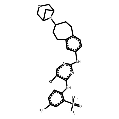 Cc1ccc(Nc2nc(Nc3ccc4c(c3)CCC(N3C5COCC3C5)CC4)ncc2Cl)c(P(C)(C)=O)c1